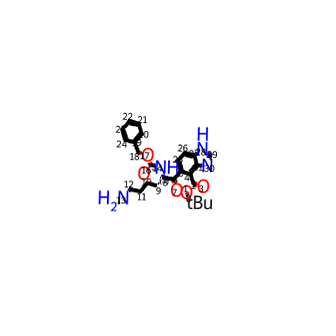 CC(C)(C)OC(=O)c1c(C(=O)[C@H](CCCCN)NC(=O)OCc2ccccc2)ccc2[nH][c]nc12